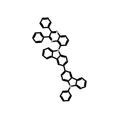 c1ccc(-c2nc3cccc(-n4c5ccccc5c5cc(-c6ccc7c(c6)c6ccccc6n7-c6ccccc6)ccc54)c3nc2-c2ccccc2)cc1